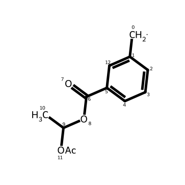 [CH2]c1cccc(C(=O)OC(C)OC(C)=O)c1